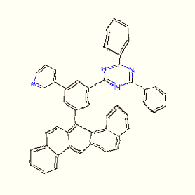 c1ccc(-c2nc(-c3ccccc3)nc(-c3cc(-c4cccnc4)cc(-c4c5ccc6ccccc6c5cc5ccc6ccccc6c45)c3)n2)cc1